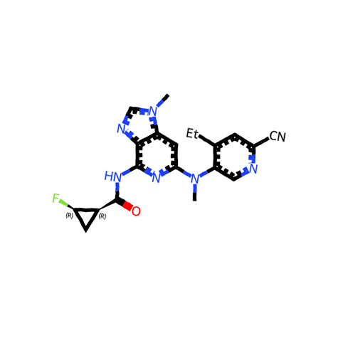 CCc1cc(C#N)ncc1N(C)c1cc2c(ncn2C)c(NC(=O)[C@H]2C[C@H]2F)n1